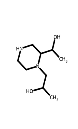 CC(O)CN1CCNCC1C(C)O